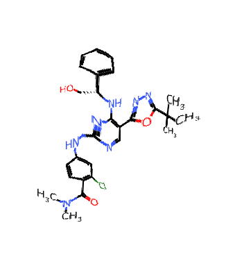 CN(C)C(=O)c1ccc(Nc2ncc(-c3nnc(C(C)(C)C)o3)c(N[C@H](CO)c3ccccc3)n2)cc1Cl